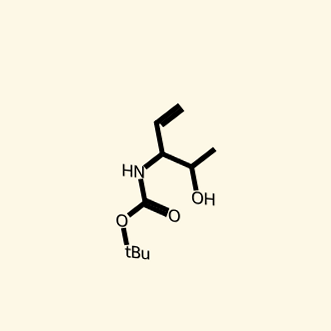 C=CC(NC(=O)OC(C)(C)C)C(C)O